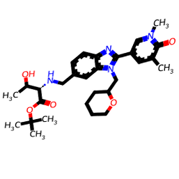 Cc1cc(-c2nc3ccc(CN[C@H](C(=O)OC(C)(C)C)C(C)O)cc3n2CC2CCCCO2)cn(C)c1=O